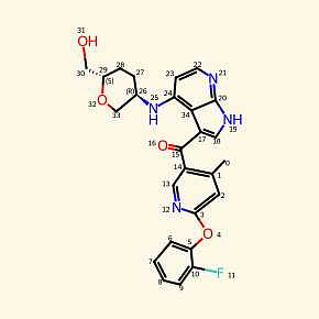 Cc1cc(Oc2ccccc2F)ncc1C(=O)c1c[nH]c2nccc(N[C@@H]3CC[C@@H](CO)OC3)c12